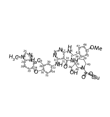 COc1ccc(CNc2ncnc(Nc3ccc(Oc4ccc5c(c4)ncn5C)c(C)c3)c2C(=O)NC2(CO)CCCN(C(=O)OC(C)(C)C)C2)cc1